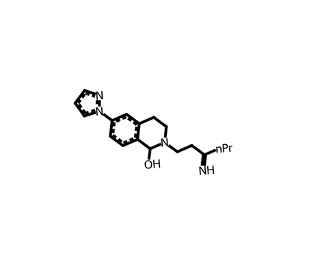 CCCC(=N)CCN1CCc2cc(-n3cccn3)ccc2C1O